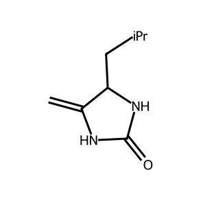 C=C1NC(=O)NC1CC(C)C